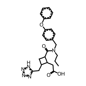 CCCN(Cc1ccc(Oc2ccccc2)cc1)C(=O)C1CC(Cc2nnn[nH]2)C1CC(=O)O